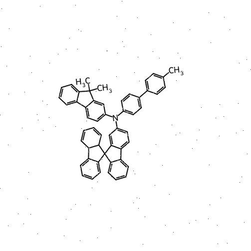 Cc1ccc(-c2ccc(N(c3ccc4c(c3)C(C)(C)c3ccccc3-4)c3ccc4c(c3)C3(c5ccccc5-4)c4ccccc4C4C=CC=CC43)cc2)cc1